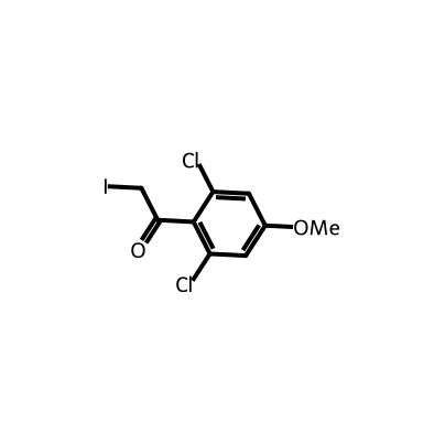 COc1cc(Cl)c(C(=O)CI)c(Cl)c1